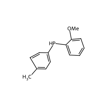 COc1ccccc1Pc1ccc(C)cc1